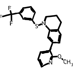 COc1ncccc1-c1ccc2c(c1)N(Sc1cccc(C(F)(F)F)c1)CCC2